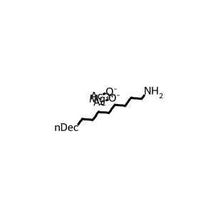 CC(=O)[O-].CC(=O)[O-].CCCCCCCCCCCCCCCCCCN.[Mg+2]